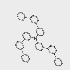 c1ccc(-c2cccc(-c3cccc(N(c4cccc(-c5cccc(-c6ccccc6)c5)c4)c4cccc(-c5cccc(-c6ccccc6)c5)c4)c3)c2)cc1